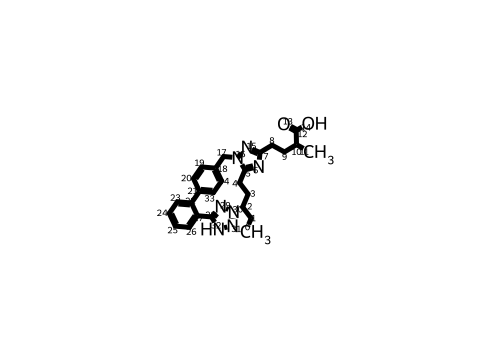 CCCCCc1nc(CCC(C)C(=O)O)nn1Cc1ccc(-c2ccccc2-c2nnn[nH]2)cc1